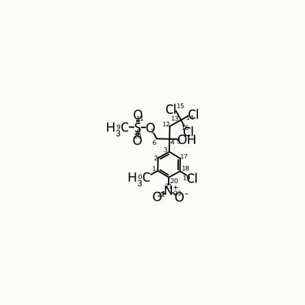 Cc1cc(C(O)(COS(C)(=O)=O)CC(Cl)(Cl)Cl)cc(Cl)c1[N+](=O)[O-]